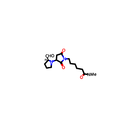 CNC(=O)CCCCCN1C(=O)CC(N2CCC[C@H]2C=O)C1=O